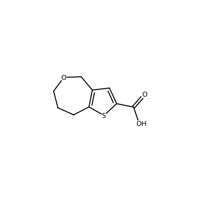 O=C(O)c1cc2c(s1)CCCOC2